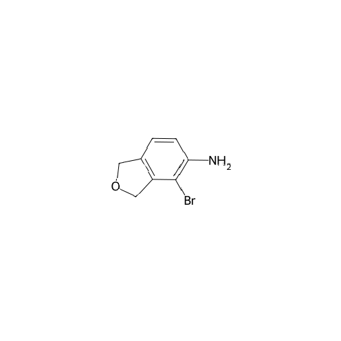 Nc1ccc2c(c1Br)COC2